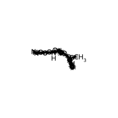 CCCOc1cc(-c2nc3c(s2)CCCC3)ccc1OCCCOc1ccc2c(c1)CC[C@H]2CC(=O)NCCOCCOCCOCCN=[N+]=[N-]